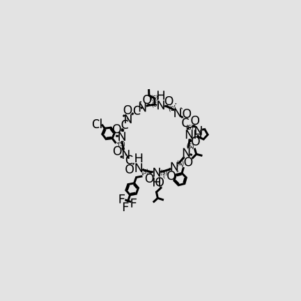 CC[C@H](C)[C@@H]1NC(=O)[C@H](C)N(C)C(=O)C[C@@H](C(=O)N2CCCC2)NC(=O)[C@H](CC(C)C)N(C)C(=O)[C@H](Cc2ccccc2)N(C)C(=O)[C@H](COCCC(C)C)NC(=O)[C@H](CCc2ccc(C(F)(F)F)cc2)NC(=O)CN(C)C(=O)[C@H](Cc2ccc(Cl)cc2)N(C)C(=O)CN(C)C(=O)CN(C)C1=O